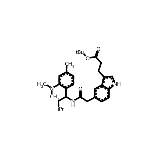 Cc1ccc(C(CC(C)C)NC(=O)Cc2ccc3[nH]cc(CCC(=O)OC(C)(C)C)c3c2)c(N(C)C)c1